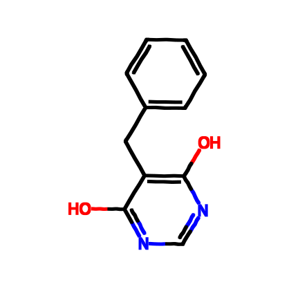 Oc1ncnc(O)c1Cc1ccccc1